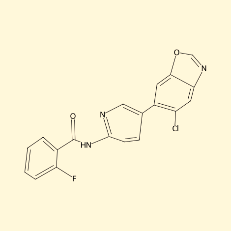 O=C(Nc1ccc(-c2cc3ocnc3cc2Cl)cn1)c1ccccc1F